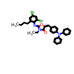 CCCCc1cc(Br)cc(Br)c1N=C1O/C(=C/c2ccc(N(c3ccccc3)c3ccccc3)cc2)C(=O)N1CC